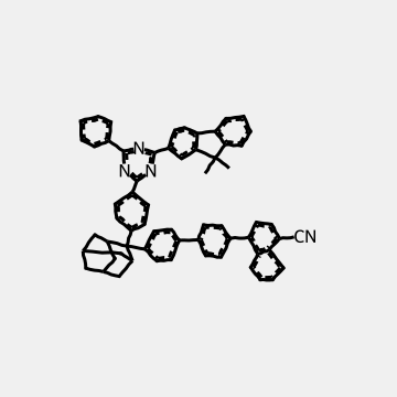 CC1(C)c2ccccc2-c2ccc(-c3nc(-c4ccccc4)nc(-c4ccc(C5(c6ccc(-c7ccc(-c8ccc(C#N)c9ccccc89)cc7)cc6)C6CC7CC(C6)CC5C7)cc4)n3)cc21